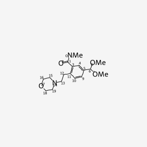 CNC(=O)c1cc(C(OC)OC)ccc1CCN1CCOCC1